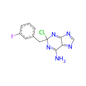 NC1=NC(Cl)(Cc2cccc(I)c2)N=C2N=CN=C12